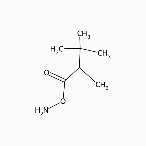 CC(C(=O)ON)C(C)(C)C